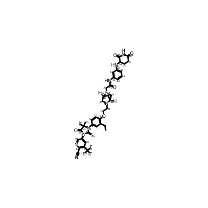 CCc1cc(N2C(=S)N(c3cnc(C#N)c(C(F)(F)F)c3)C(=O)C2(C)C)ccc1OCCN1C[C@H]2C[C@@H]1CN2CC(=O)Nc1cccc(NC2CCC(=O)NC2=O)c1